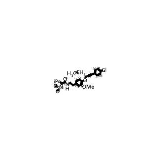 CC.COc1cc(CCNC(=O)C(N=S(=O)=O)C(C)C)ccc1OCC#Cc1ccc(Cl)cc1